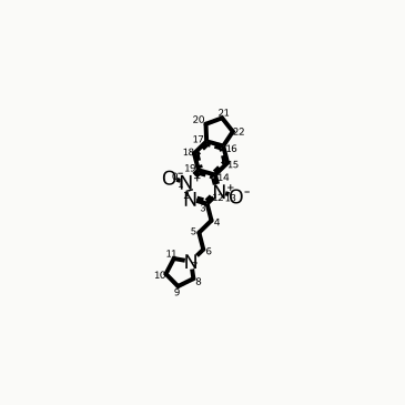 [O-][n+]1nc(CCCN2CCCC2)[n+]([O-])c2cc3c(cc21)CCC3